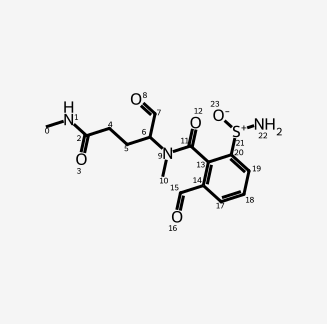 CNC(=O)CCC(C=O)N(C)C(=O)c1c(C=O)cccc1[S+](N)[O-]